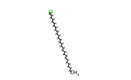 CCCCCCCCCCCCCCCCCCCCCCCCCCCCCCCl